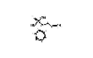 C=CCSP(O)(O)=S.c1ccncc1